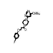 CC(C)COc1cc(N2CCN(C(=O)CCOc3ccc(F)cc3)CC2)ncn1